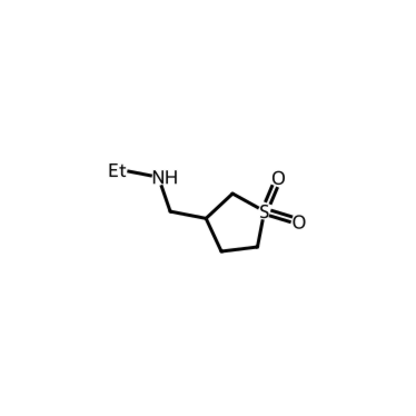 CCNCC1CCS(=O)(=O)C1